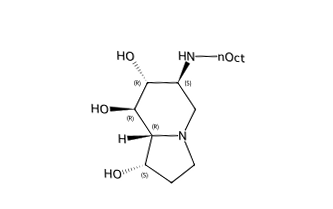 CCCCCCCCN[C@H]1CN2CC[C@H](O)[C@@H]2[C@@H](O)[C@@H]1O